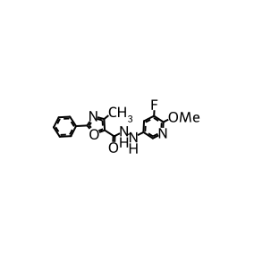 COc1ncc(NNC(=O)c2oc(-c3ccccc3)nc2C)cc1F